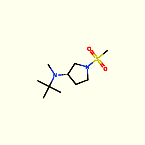 CN([C@H]1CCN(S(C)(=O)=O)C1)C(C)(C)C